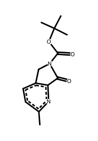 Cc1ccc2c(n1)C(=O)N(C(=O)OC(C)(C)C)C2